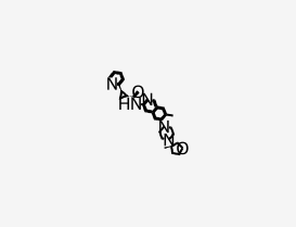 Cc1cc2cnc(NC(=O)[C@@H]3C[C@H]3c3ccccn3)cc2cc1N1CCN([C@@]2(C)CCOC2)CC1